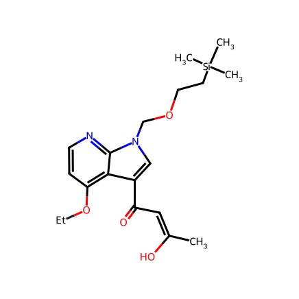 CCOc1ccnc2c1c(C(=O)/C=C(/C)O)cn2COCC[Si](C)(C)C